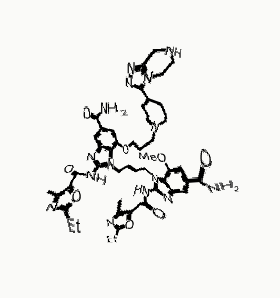 CCc1nc(C)c(C(=O)Nc2nc3cc(C(N)=O)cc(OC)c3n2C/C=C/Cn2c(NC(=O)c3oc(CC)nc3C)nc3cc(C(N)=O)cc(OCCCN4CCC(c5nnc6n5CCNC6)CC4)c32)o1